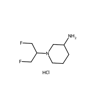 Cl.NC1CCCN(C(CF)CF)C1